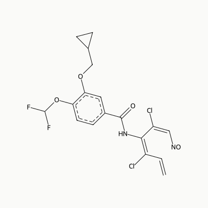 C=C/C(Cl)=C(NC(=O)c1ccc(OC(F)F)c(OCC2CC2)c1)\C(Cl)=C/N=O